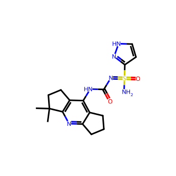 CC1(C)CCc2c1nc1c(c2NC(=O)N=S(N)(=O)c2cc[nH]n2)CCC1